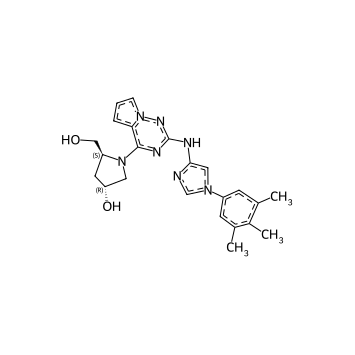 Cc1cc(-n2cnc(Nc3nc(N4C[C@H](O)C[C@H]4CO)c4cccn4n3)c2)cc(C)c1C